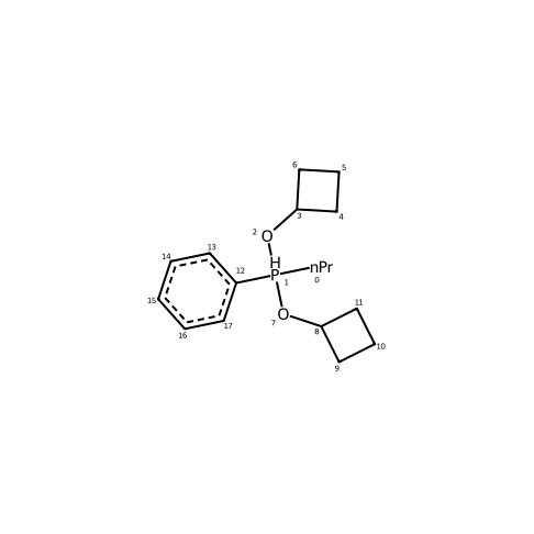 CCC[PH](OC1CCC1)(OC1CCC1)c1ccccc1